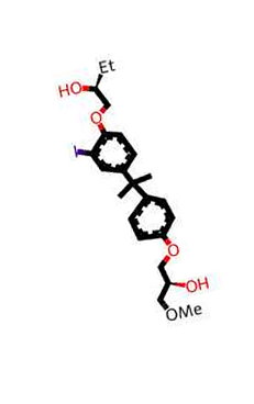 CC[C@H](O)COc1ccc(C(C)(C)c2ccc(OC[C@@H](O)COC)cc2)cc1I